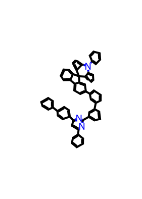 c1ccc(-c2ccc(-c3cc(-c4ccccc4)nc(-c4cccc(-c5cccc(-c6ccc7c(c6)C6(c8ccccc8-7)c7ccccc7N(c7ccccc7)c7ccccc76)c5)c4)n3)cc2)cc1